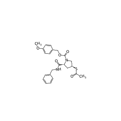 COc1ccc(COC(=O)N2C[C@@H](SC(C)=O)C[C@H]2C(=O)NCc2ccccc2)cc1